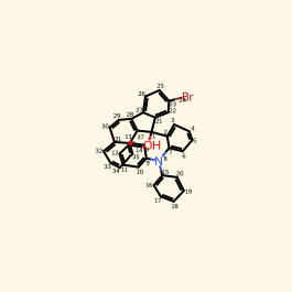 OC1(c2ccccc2N(c2ccccc2)c2ccccc2)c2cc(Br)ccc2-c2ccc3ccccc3c21